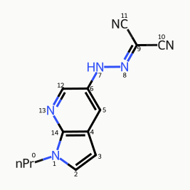 CCCn1ccc2cc(NN=C(C#N)C#N)cnc21